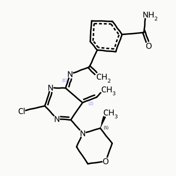 C=C(/N=C1/N=C(Cl)N=C(N2CCOC[C@@H]2C)/C1=C/C)c1cccc(C(N)=O)c1